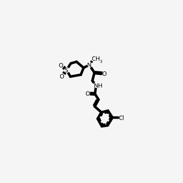 CN(C(=O)CNC(=O)/C=C/c1cccc(Cl)c1)C1CCS(=O)(=O)CC1